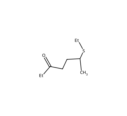 CCSC(C)CCC(=O)CC